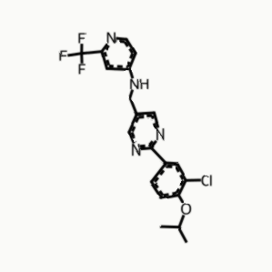 CC(C)Oc1ccc(-c2ncc(CNc3ccnc(C(F)(F)F)c3)cn2)cc1Cl